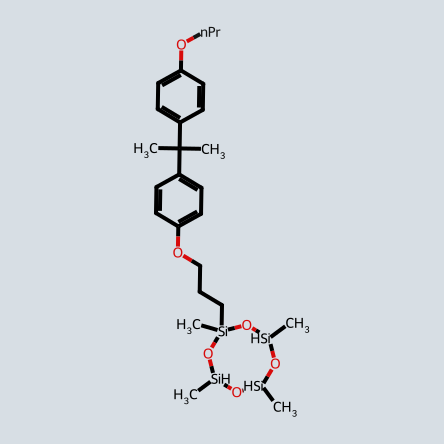 CCCOc1ccc(C(C)(C)c2ccc(OCCC[Si]3(C)O[SiH](C)O[SiH](C)O[SiH](C)O3)cc2)cc1